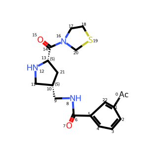 CC(=O)c1cccc(C(=O)NC[C@@H]2CN[C@H](C(=O)N3CCSC3)C2)c1